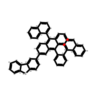 c1ccc(-c2c3ccccc3c(-c3cccc4ccccc34)c3ccc(-c4ccc5sc6ccccc6c5c4)cc23)c(-c2cccc3ccccc23)c1